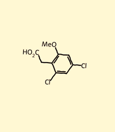 COc1cc(Cl)cc(Cl)c1CC(=O)O